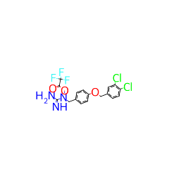 N=C(N)N(Cc1ccc(OCc2ccc(Cl)c(Cl)c2)cc1)OC(=O)C(F)(F)F